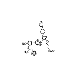 COCCCCOc1nn([C@H]2CC[C@H](N3CCOCC3)CC2)cc1Nc1ncc(-c2ccc(C#N)c(O[C@@H](C)Cn3cnnn3)c2)cn1